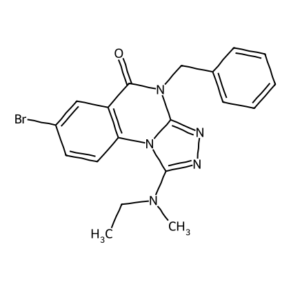 CCN(C)c1nnc2n(Cc3ccccc3)c(=O)c3cc(Br)ccc3n12